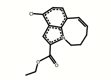 CCOC(=O)c1cc2c(Cl)ccc3c2n1CCCC=C3